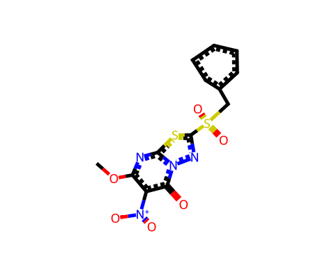 COc1nc2sc(S(=O)(=O)Cc3ccccc3)nn2c(=O)c1[N+](=O)[O-]